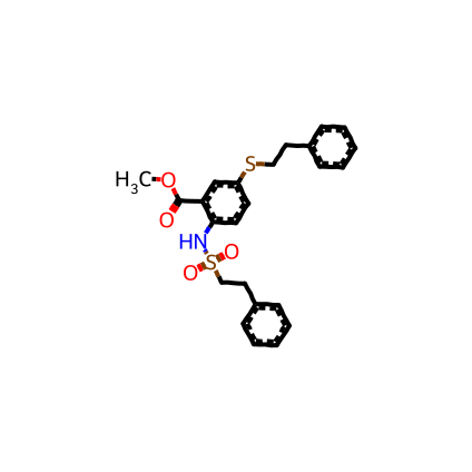 COC(=O)c1cc(SCCc2ccccc2)ccc1NS(=O)(=O)CCc1ccccc1